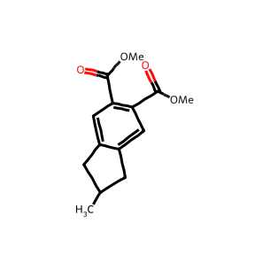 COC(=O)c1cc2c(cc1C(=O)OC)CC(C)C2